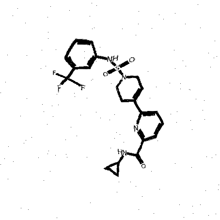 O=C(NC1CC1)c1cccc(C2=CCN(S(=O)(=O)Nc3cccc(C(F)(F)F)c3)CC2)n1